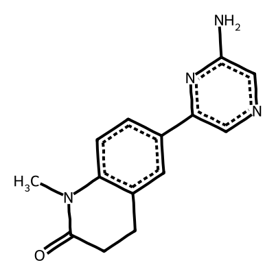 CN1C(=O)CCc2cc(-c3cncc(N)n3)ccc21